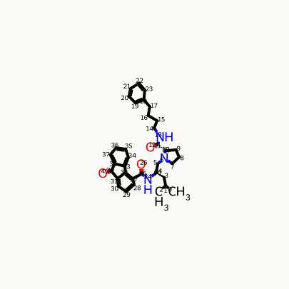 CC(C)C[C@H](CN1CCC[C@H]1C(=O)NCCCCc1ccccc1)NC(=O)c1cccc2c1-c1ccccc1C2=O